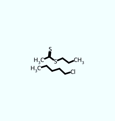 CCCCCCl.CCCSC(C)=S